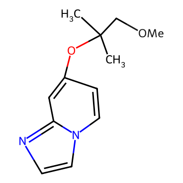 COCC(C)(C)Oc1ccn2ccnc2c1